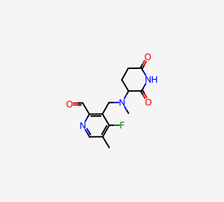 Cc1cnc(C=O)c(CN(C)C2CCC(=O)NC2=O)c1F